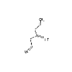 C=CCC(=O)CC=C.F